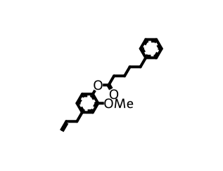 C=CCc1ccc(OC(=O)CCCCc2ccccc2)c(OC)c1